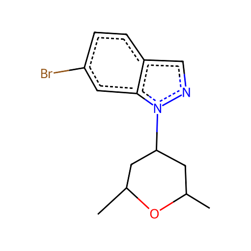 CC1CC(n2ncc3ccc(Br)cc32)CC(C)O1